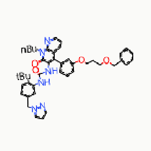 CCCCn1c(=O)c(NC(=O)Nc2cc(Cn3cccn3)ccc2C(C)(C)C)c(-c2cccc(OCCCOCc3ccccc3)c2)c2cccnc21